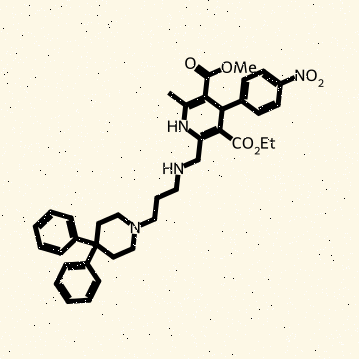 CCOC(=O)C1=C(CNCCCN2CCC(c3ccccc3)(c3ccccc3)CC2)NC(C)=C(C(=O)OC)C1c1ccc([N+](=O)[O-])cc1